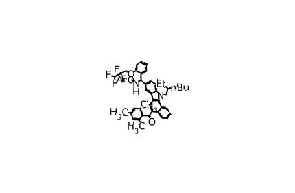 CCCCC(CC)Cn1c2ccc(C(NOC(C)=O)c3ccccc3OCC(F)(F)C(F)F)cc2c2cc(C(=O)c3c(C)cc(C)cc3C)c3ccccc3c21